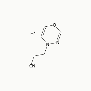 N#CCCN1C=COC=N1.[H+]